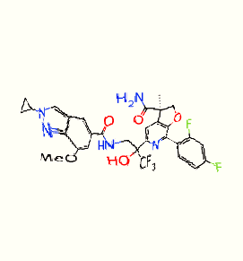 COc1cc(C(=O)NCC(O)(c2cc3c(c(-c4ccc(F)cc4F)n2)OC[C@]3(C)C(N)=O)C(F)(F)F)cc2cn(C3CC3)nc12